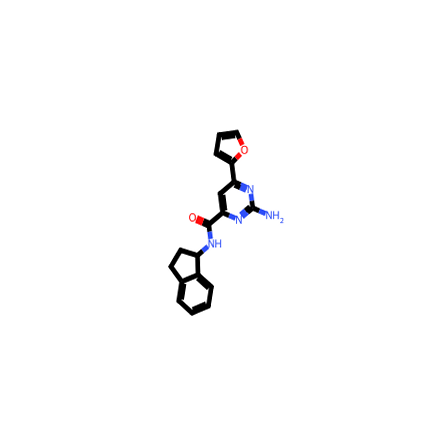 Nc1nc(C(=O)NC2CCc3ccccc32)cc(-c2ccco2)n1